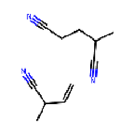 C=CC(C)C#N.CC(C#N)CCC#N